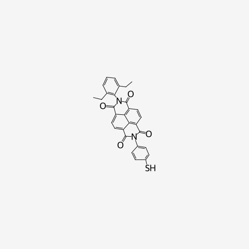 CCc1cccc(CC)c1N1C(=O)c2ccc3c4c(ccc(c24)C1=O)C(=O)N(c1ccc(S)cc1)C3=O